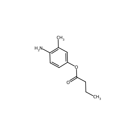 CCCC(=O)Oc1ccc(N)c(C)c1